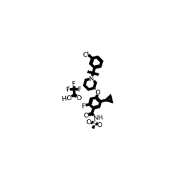 CC(C)(c1cccc(Cl)c1)N1CCC[C@@H](Oc2cc(F)c(C(=O)NS(C)(=O)=O)cc2C2CC2)C1.O=C(O)C(F)(F)F